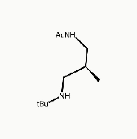 CC(=O)NC[C@@H](C)CNC(C)(C)C